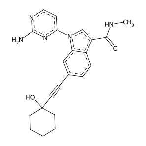 CNC(=O)c1cn(-c2ccnc(N)n2)c2cc(C#CC3(O)CCCCC3)ccc12